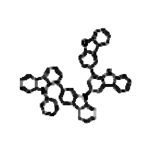 C1=CC2c3cccc(-c4ccc5c6ccccc6n(-c6cc(-c7ccc8oc9ccccc9c8c7)c7sc8ccccc8c7c6)c5c4)c3N(c3ccccc3)C2C=C1